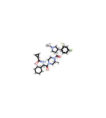 C[C@H]1CN(C(=O)[C@@H](NC(=O)C2CC2)C2CCCCC2)CCN1C(=O)[C@@H]1CN(C(C)(C)C)C[C@H]1c1ccc(F)cc1F